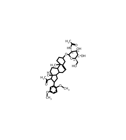 COc1ccc(OC)c(C2CC3C4CC=C5CC(OC6O[C@H](CO)[C@@H](O)[C@H](O)[C@H]6NC(C)=O)CCC5(C)C4CCC3(C)C2C(C)=O)c1